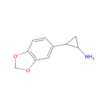 NC1CC1c1ccc2c(c1)OCO2